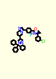 O=C(NC1(c2cccc(Cl)c2)CC1)c1ccc(-c2cnc3ccc(-c4cnn(C(c5ccccc5)(c5ccccc5)c5ccccc5)c4)cn23)cc1F